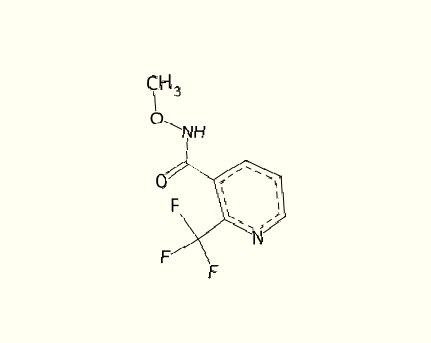 CONC(=O)c1cccnc1C(F)(F)F